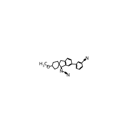 COC1CCC2(CC1)Cc1ccc(-c3cccc(C#N)c3)cc1C2=NC#N